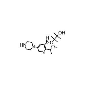 CO[C@@H](C)c1ncc(N2CCNCC2)cc1BOC(C)(C)C(C)(C)O